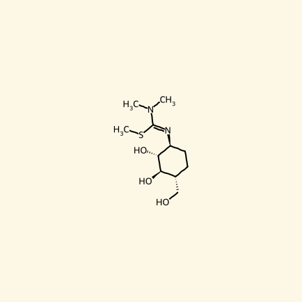 CS/C(=N\[C@H]1CC[C@H](CO)[C@@H](O)[C@@H]1O)N(C)C